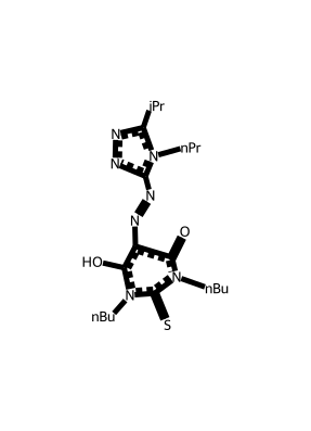 CCCCn1c(O)c(N=Nc2nnc(C(C)C)n2CCC)c(=O)n(CCCC)c1=S